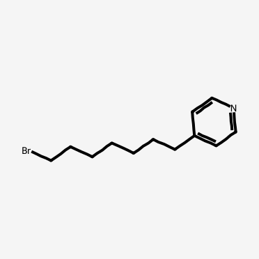 BrCCCCCCCc1ccncc1